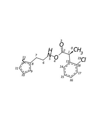 C[C@H](C(=O)ONCCc1cccs1)c1ccccc1Cl